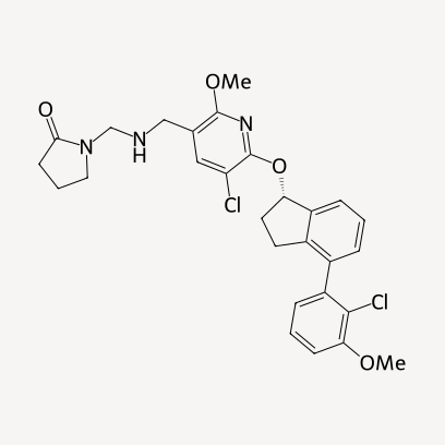 COc1cccc(-c2cccc3c2CC[C@@H]3Oc2nc(OC)c(CNCN3CCCC3=O)cc2Cl)c1Cl